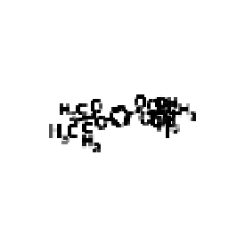 CCC(C)(C)C(=O)Oc1ccc(C(=O)OC(C)(C)C(C)(O)C(F)(F)F)cc1